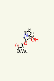 COC(=O)CCO[C@H]1CN2CCC[C@]2(CO)C1